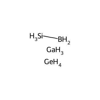 B[SiH3].[GaH3].[GeH4]